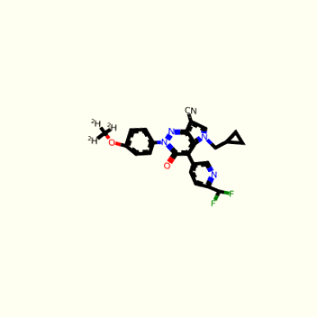 [2H]C([2H])([2H])Oc1ccc(-n2nc3c(C#N)cn(CC4CC4)c3c(-c3ccc(C(F)F)nc3)c2=O)cc1